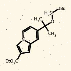 CCOC(=O)c1cc2cc(C(C)(C)O[SiH2]C(C)(C)C)ccn2c1